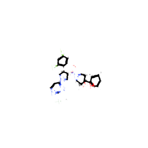 C[C@@H]1CN(C(=O)[C@@H]2CN(c3ccncn3)C[C@H]2c2ccc(F)cc2F)C[C@H](C)[C@]1(O)c1ccccc1.Cl